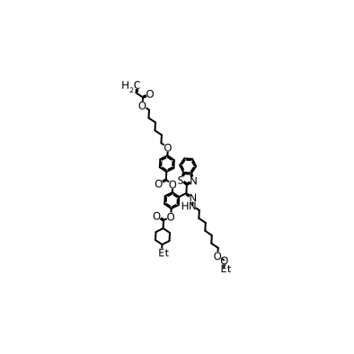 C=CC(=O)OCCCCCCOc1ccc(C(=O)Oc2ccc(OC(=O)C3CCC(CC)CC3)cc2C(=NNCCCCCCCOOCC)c2nc3ccccc3s2)cc1